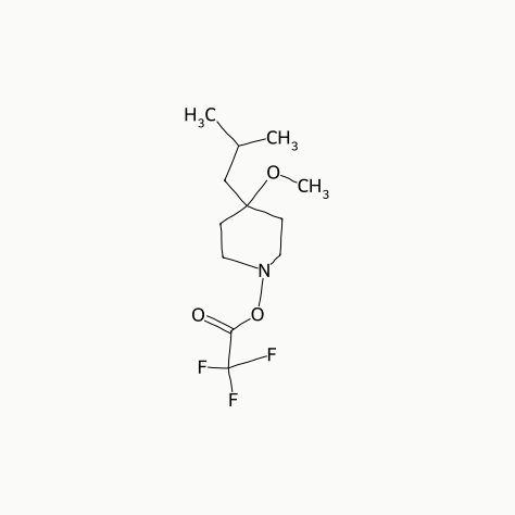 COC1(CC(C)C)CCN(OC(=O)C(F)(F)F)CC1